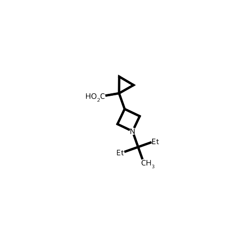 CCC(C)(CC)N1CC(C2(C(=O)O)CC2)C1